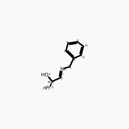 CCC[C@@H](O)/C=N/Cc1ccccc1